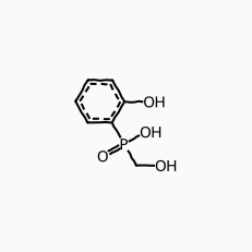 O=P(O)(CO)c1ccccc1O